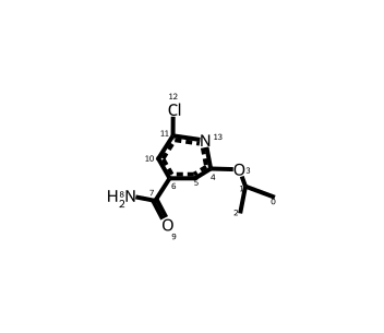 CC(C)Oc1cc(C(N)=O)cc(Cl)n1